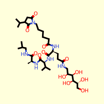 CC(C)CNC(=O)[C@H](C)NC(=O)[C@@H](NC(=O)[C@H](CCC(=O)NC[C@H](O)[C@@H](O)[C@H](O)[C@H](O)CO)NC(=O)CCCCCN1C(=O)CC(C(C)C)C1=O)C(C)C